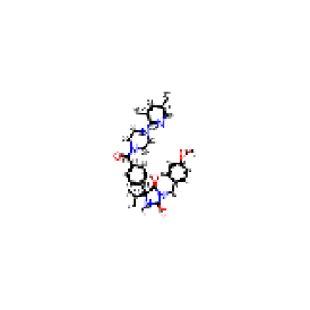 COc1ccc(CN2C(=O)N(C)C(c3ccc(C(=O)N4CCN(c5ncc(C)cc5C)CC4)cc3)(C(C)C)C2=O)cc1